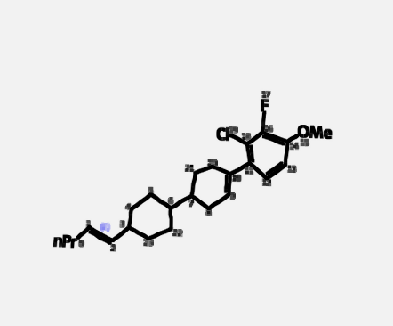 CCC/C=C/C1CCC(C2CC=C(c3ccc(OC)c(F)c3Cl)CC2)CC1